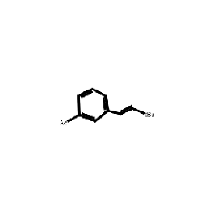 CC(=O)c1cccc(/C=C/C(C)(C)C)c1